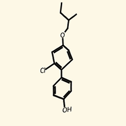 CCC(C)COc1ccc(-c2ccc(O)cc2)c(Cl)c1